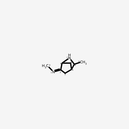 CN=C1CC2CC1NC2C